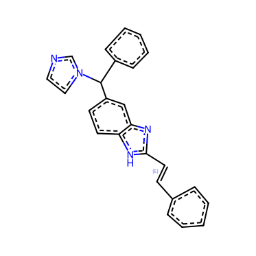 C(=C\c1nc2cc(C(c3ccccc3)n3ccnc3)ccc2[nH]1)/c1ccccc1